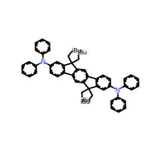 CCC(C)CC1(CC(C)CC)c2cc(N(c3ccccc3)c3ccccc3)ccc2-c2cc3c(cc21)-c1ccc(N(c2ccccc2)c2ccccc2)cc1C3(CC(C)CC)CC(C)CC